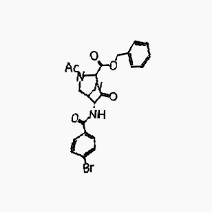 CC(=O)N1CC2[C@@H](NC(=O)c3ccc(Br)cc3)C(=O)N2C1C(=O)OCc1ccccc1